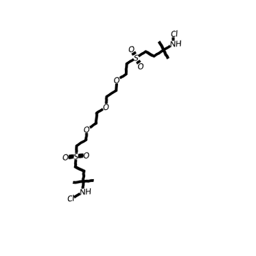 CC(C)(CCS(=O)(=O)CCOCCOCCOCCS(=O)(=O)CCC(C)(C)NCl)NCl